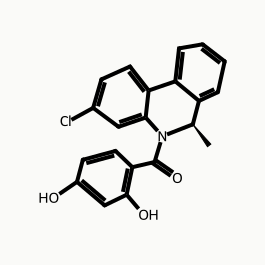 C[C@@H]1c2ccccc2-c2ccc(Cl)cc2N1C(=O)c1ccc(O)cc1O